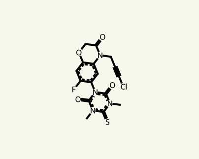 Cn1c(=S)n(C)c(=O)n(-c2cc3c(cc2F)OCC(=O)N3CC#CCl)c1=O